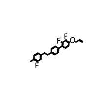 C=CCOc1ccc(-c2ccc(CCc3ccc(C)c(F)c3)cc2)c(F)c1F